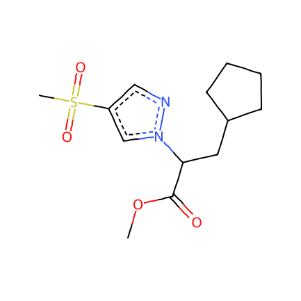 COC(=O)C(CC1CCCC1)n1cc(S(C)(=O)=O)cn1